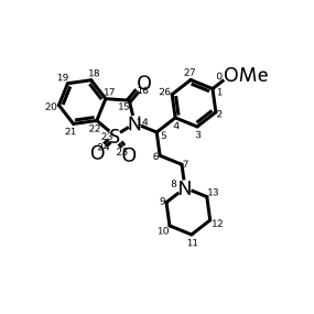 COc1ccc(C(CCN2CCCCC2)N2C(=O)c3ccccc3S2(=O)=O)cc1